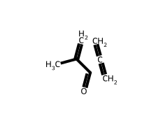 C=C(C)C=O.C=C=C